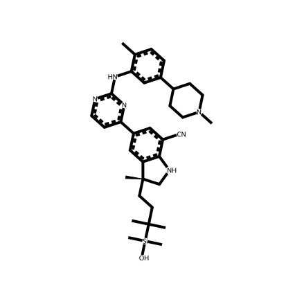 Cc1ccc(C2CCN(C)CC2)cc1Nc1nccc(-c2cc(C#N)c3c(c2)[C@@](C)(CCC(C)(C)[Si](C)(C)O)CN3)n1